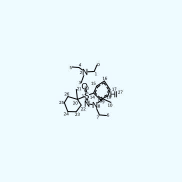 CCN(C)CC.CCN(CC)N=S(=O)(c1ccccc1)C1(C)CCCCC1.I